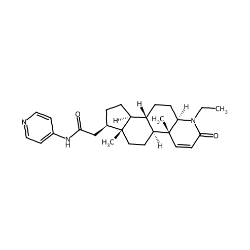 CCN1C(=O)C=C[C@]2(C)[C@H]3CC[C@]4(C)[C@@H](CC(=O)Nc5ccncc5)CC[C@H]4[C@@H]3CC[C@@H]12